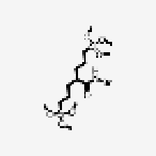 CO[Si](CCCC(CCC[Si](OC)(OC)OC)C(=O)NBr)(OC)OC